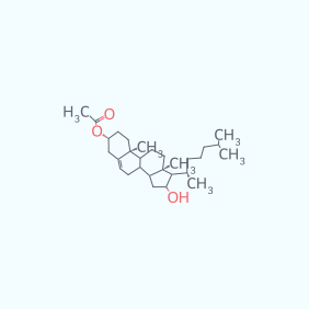 CC(=O)O[C@H]1CC[C@@]2(C)C(=CCC3C4CC(O)C([C@H](C)CCCC(C)C)[C@@]4(C)CCC32)C1